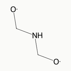 [O]CNC[O]